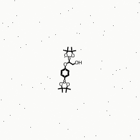 CC1(C)OB(c2ccc(OC(CO)B3OC(C)(C)C(C)(C)O3)cc2)OC1(C)C